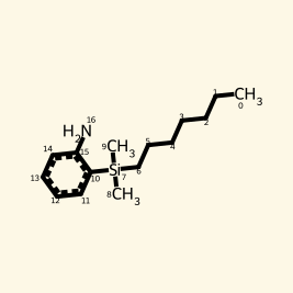 CCCCCCC[Si](C)(C)c1ccccc1N